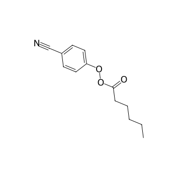 CCCCCC(=O)OOc1ccc(C#N)cc1